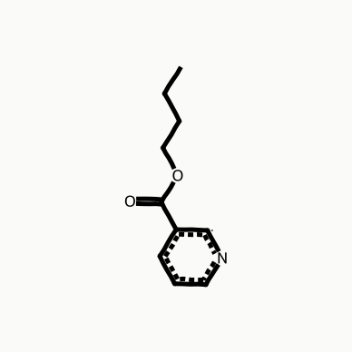 CCCCOC(=O)c1[c]nccc1